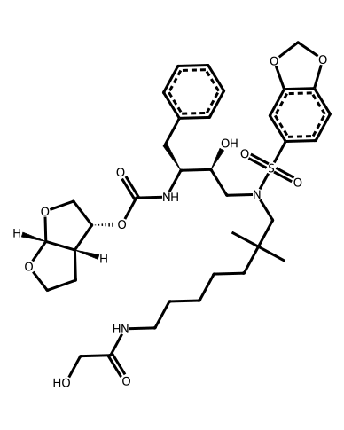 CC(C)(CCCCCNC(=O)CO)CN(C[C@H](O)[C@H](Cc1ccccc1)NC(=O)O[C@H]1CO[C@H]2OCC[C@H]21)S(=O)(=O)c1ccc2c(c1)OCO2